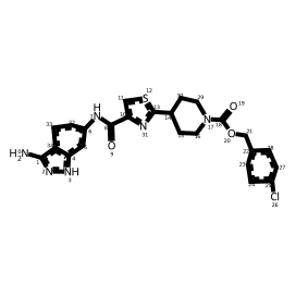 Nc1n[nH]c2cc(NC(=O)c3csc(C4CCN(C(=O)OCc5ccc(Cl)cc5)CC4)n3)ccc12